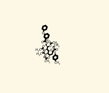 COC(=O)[C@@]1(Sc2ccc(C)cc2)C[C@H](OC(C)=O)[C@@H](NC(C)=O)[C@H]([C@H](OC(C)=O)[C@@H](CNC(=O)c2cccc(Oc3ccccc3)c2)OC(C)=O)O1